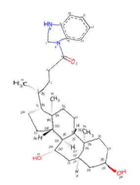 C[C@H](CCC(=O)N1CNc2ccccc21)[C@H]1CC[C@H]2[C@@H]3[C@@H](O)C[C@@H]4C[C@H](O)CC[C@]4(C)[C@H]3CC[C@]12C